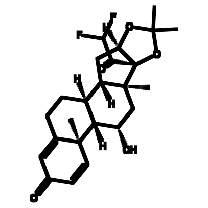 CC1(C)O[C@@H]2C[C@H]3[C@@H]4CCC5=CC(=O)C=C[C@]5(C)[C@H]4[C@@H](O)C[C@]3(C)[C@]2(C(=O)C(F)F)O1